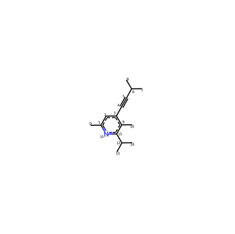 Cc1cc(C#CC(C)C)c(C)c(C(C)C)n1